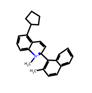 Cc1ccc2ccccc2c1-c1ccc2c(C3CCCC3)cccc2[n+]1C